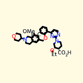 CCO[C@@H]1CN(c2nccc(-c3cccc(C)c3OCc3cc4c(c(OC)c3)CN(C3CCOCC3)CC4)n2)CC[C@@H]1C(=O)O